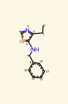 [CH2]Cc1ncsc1NCc1ccccc1